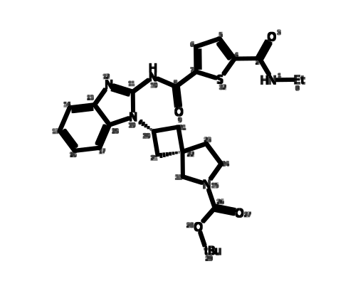 CCNC(=O)c1ccc(C(=O)Nc2nc3ccccc3n2[C@H]2C[C@@]3(CCN(C(=O)OC(C)(C)C)C3)C2)s1